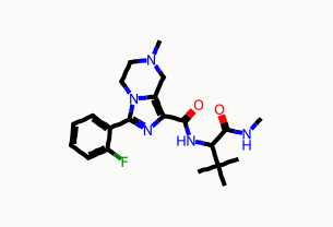 CNC(=O)C(NC(=O)c1nc(-c2ccccc2F)n2c1CN(C)CC2)C(C)(C)C